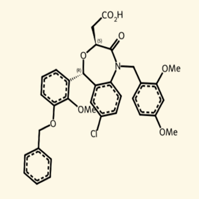 COc1ccc(CN2C(=O)[C@H](CC(=O)O)O[C@@H](c3cccc(OCc4ccccc4)c3OC)c3cc(Cl)ccc32)c(OC)c1